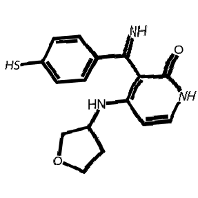 N=C(c1ccc(S)cc1)c1c(NC2CCOC2)cc[nH]c1=O